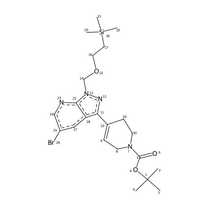 CC(C)(C)OC(=O)N1CC=C(c2nn(COCC[Si](C)(C)C)c3ncc(Br)cc23)CC1